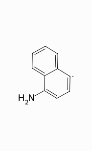 Nc1cc[c]c2ccccc12